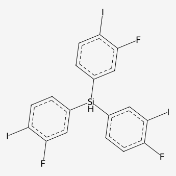 Fc1cc([SiH](c2ccc(I)c(F)c2)c2ccc(F)c(I)c2)ccc1I